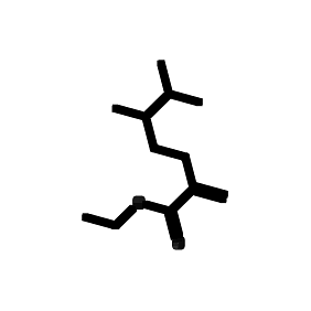 C=C(CCC(C)C(C)C)C(=O)OCC